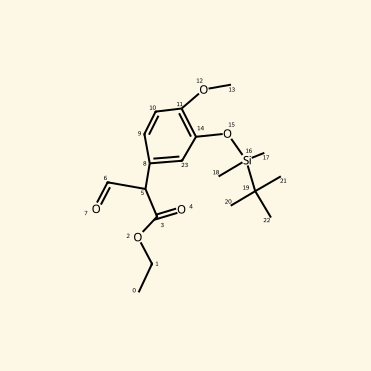 CCOC(=O)C(C=O)c1ccc(OC)c(O[Si](C)(C)C(C)(C)C)c1